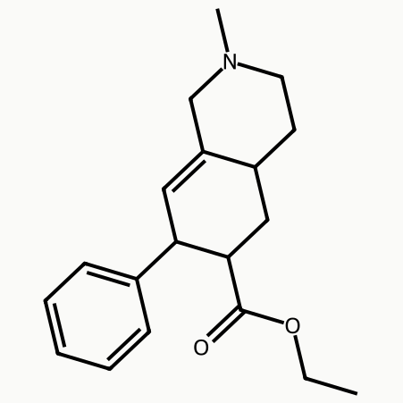 CCOC(=O)C1CC2CCN(C)CC2=CC1c1ccccc1